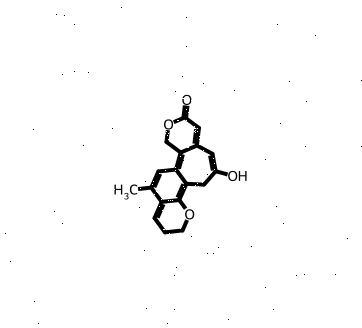 Cc1cc2c(c3c1=CCCO3)CC(O)=CC1=CC(=O)OCC=21